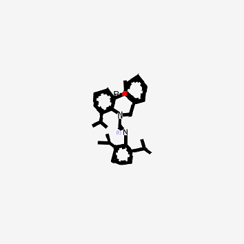 CC(C)c1cccc(C(C)C)c1/N=C/N(Cc1ccccc1Br)c1c(C(C)C)cccc1C(C)C